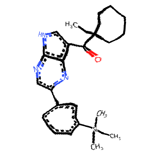 CC1(C(=O)c2c[nH]c3ncc(-c4cccc([Si](C)(C)C)c4)nc23)CCCCC1